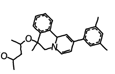 Cc1cc(C)cc(C2=CC3c4ccccc4C(C)(OC(C)CC(C)O)CN3C=C2)c1